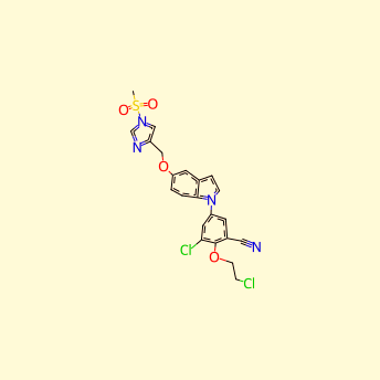 CS(=O)(=O)n1cnc(COc2ccc3c(ccn3-c3cc(Cl)c(OCCCl)c(C#N)c3)c2)c1